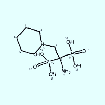 NC(CN1CCCCC1)(P(=O)(O)O)P(=O)(O)O